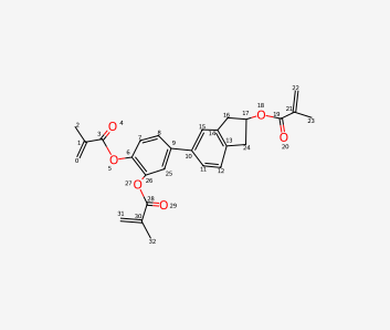 C=C(C)C(=O)Oc1ccc(-c2ccc3c(c2)CC(OC(=O)C(=C)C)C3)cc1OC(=O)C(=C)C